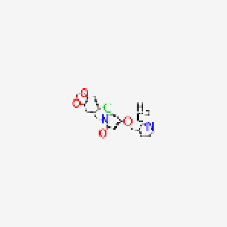 Cc1ncccc1COc1ccn(Cc2cc3c(cc2Cl)OCO3)c(=O)c1